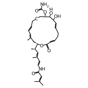 CC(C)=CC(=O)N/C=C/C(C)=C/[C@@H](C)[C@H]1C/C(C)=C/C=C/CCC[C@@H](OC(N)=O)[C@@H](O)C(O)/C=C/CC/C=C/C(=O)O1